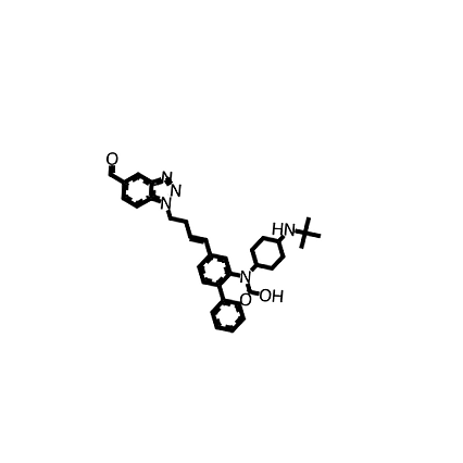 CC(C)(C)NC1CCC(N(C(=O)O)c2cc(C=CCCn3nnc4cc(C=O)ccc43)ccc2-c2ccccc2)CC1